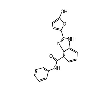 O=C(Nc1ccccc1)c1cccc2[nH]c(-c3ccc(O)o3)nc12